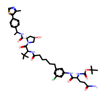 Cc1ncsc1-c1ccc(C(C)NC(=O)[C@@H]2C[C@@H](O)CN2C(=O)C(NC(=O)CCCCCc2cc(Cl)cc(NC(=O)C(CCC(N)=O)NC(=O)OC(C)(C)C)c2)C(C)(C)C)cc1